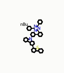 CCCCc1cccc(-c2nc(-c3ccccc3)nc(-c3ccccc3-c3cccc(-n4c5ccccc5c5cc(-c6cccc7c6sc6ccccc67)ccc54)c3)n2)c1